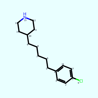 Clc1ccc(CCCCCC2C[CH]NCC2)cc1